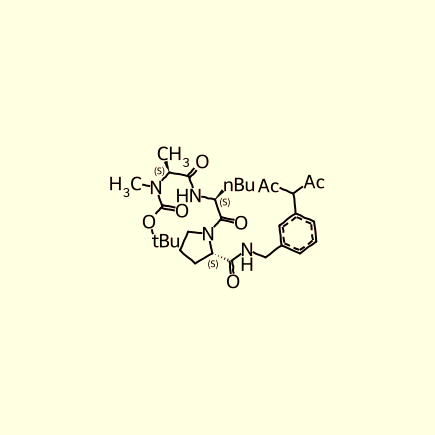 CCCC[C@H](NC(=O)[C@H](C)N(C)C(=O)OC(C)(C)C)C(=O)N1CCC[C@H]1C(=O)NCc1cccc(C(C(C)=O)C(C)=O)c1